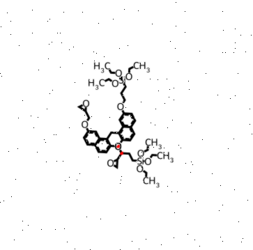 CCO[Si](CCCOc1ccc2ccc(OCC3CO3)c(Cc3c(OCCC[Si](OCC)(OCC)OCC)ccc4ccc(OCC5CO5)cc34)c2c1)(OCC)OCC